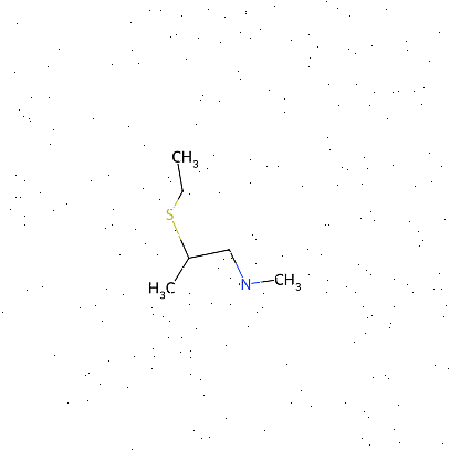 CCSC(C)C[N]C